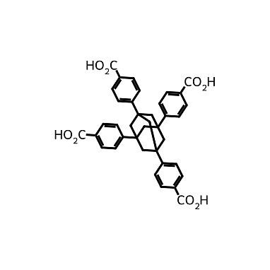 O=C(O)c1ccc(C23CC4(c5ccc(C(=O)O)cc5)CC(c5ccc(C(=O)O)cc5)(C2)CC(c2ccc(C(=O)O)cc2)(C3)C4)cc1